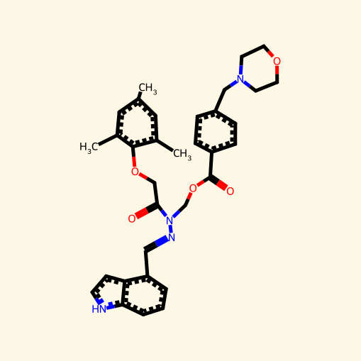 Cc1cc(C)c(OCC(=O)N(COC(=O)c2ccc(CN3CCOCC3)cc2)N=Cc2cccc3[nH]ccc23)c(C)c1